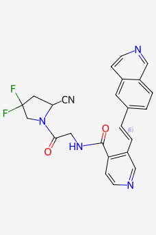 N#CC1CC(F)(F)CN1C(=O)CNC(=O)c1ccncc1/C=C/c1ccc2cnccc2c1